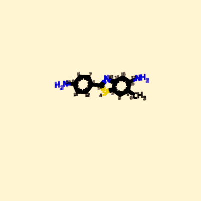 Cc1cc2sc(-c3ccc(N)cc3)nc2cc1N